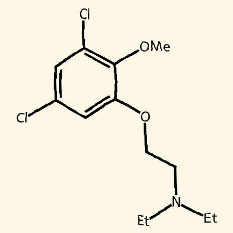 CCN(CC)CCOc1cc(Cl)cc(Cl)c1OC